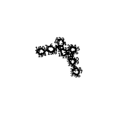 C1=Cc2c(n(-c3ccc(-c4ccccc4)cc3)c3ccc4c(c5ccccc5n4-c4ccc(-c5ccccc5)cc4)c23)CC1